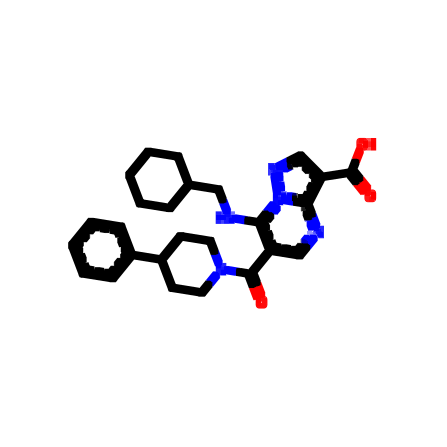 O=C(O)c1cnn2c(NCC3CCCCC3)c(C(=O)N3CCC(c4ccccc4)CC3)cnc12